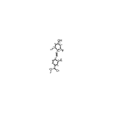 COC(=O)c1ccc(C#Cc2c(F)cc(O)cc2I)c(F)c1